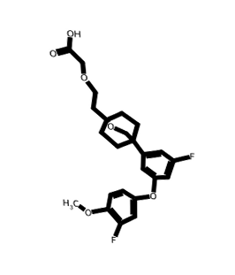 COc1ccc(Oc2cc(F)cc(C34CCC(CCOCC(=O)O)(CC3)OC4)c2)cc1F